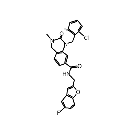 CN1Cc2ccc(C(=O)NCc3cc4cc(F)ccc4o3)cc2N(Cc2c(F)cccc2Cl)C1=O